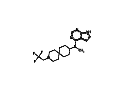 CN(c1ncnc2[nH]ccc12)C1CCC2(CC1)CCN(CC(F)(F)F)CC2